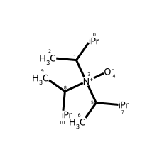 CC(C)C(C)[N+]([O-])(C(C)C(C)C)C(C)C(C)C